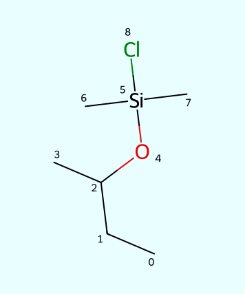 CCC(C)O[Si](C)(C)Cl